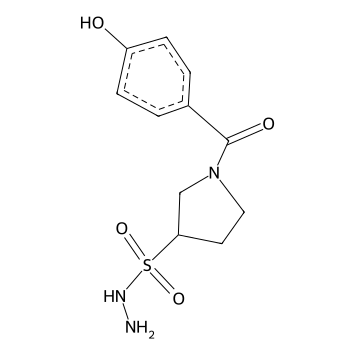 NNS(=O)(=O)C1CCN(C(=O)c2ccc(O)cc2)C1